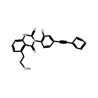 COCCc1cccc2[nH]c(=O)n(-c3ccc(C#Cc4ccccc4)cc3Cl)c(=O)c12